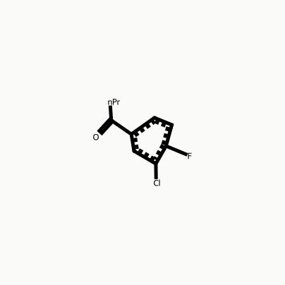 CCCC(=O)c1ccc(F)c(Cl)c1